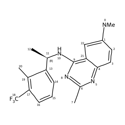 CNc1ccc2nc(C)nc(N[C@H](C)c3cccc(C(F)(F)F)c3C)c2c1